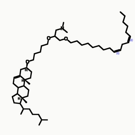 CCCCC/C=C\C/C=C\CCCCCCCCOCC(CN(C)C)OCCCCCO[C@H]1CC[C@@]2(C)C(=CCC3C4CCC(C(C)CCCC(C)C)[C@@]4(C)CCC32)C1